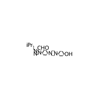 CC(C)CCN1N=CN(c2ccc(N3CCN(c4ccc(O)cc4)CC3)cc2)C1C=O